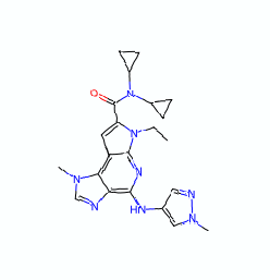 CCn1c(C(=O)N(C2CC2)C2CC2)cc2c3c(ncn3C)c(Nc3cnn(C)c3)nc21